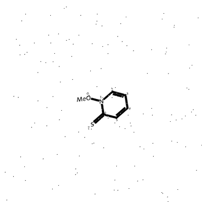 COn1ccccc1=S